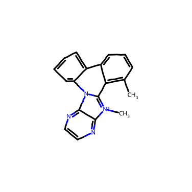 Cc1cccc2c3ccccc3n3c4nccnc4[n+](C)c3c12